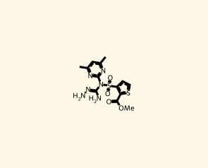 COC(=O)c1sccc1S(=O)(=O)N(C(N)=NN)c1nc(C)cc(C)n1